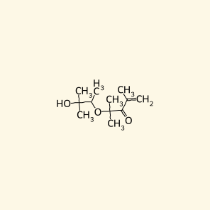 C=C(C)C(=O)C(C)(C)OC(C)C(C)(C)O